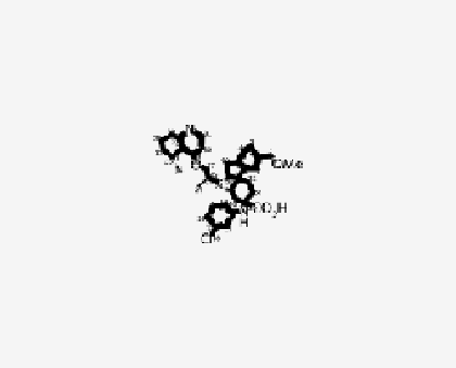 COCc1ccc2c(c1)C1(CCC(Nc3cccc(Cl)c3)(C(=O)O)CC1)[C@H](C[C@@H](C)COc1ccnc3c1[C@H](C)CCC3)C2